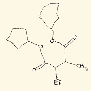 CCC(C(=O)OC1CCCC1)C(C)C(=O)OC1CCCC1